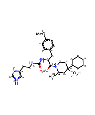 COc1ccc(CC(NC(=O)NCCc2c[nH]cn2)C(=O)N2CCC(C(=O)O)(C3CCCCC3)CC2C)cc1